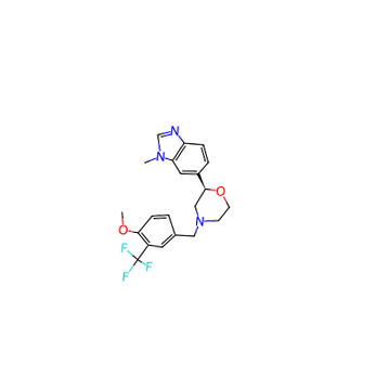 COc1ccc(CN2CCO[C@H](c3ccc4ncn(C)c4c3)C2)cc1C(F)(F)F